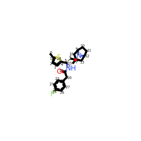 Cc1ccc([C@H](CCN2C3CCC2CC(C)C3)NC(=O)Cc2ccc(F)cc2)s1